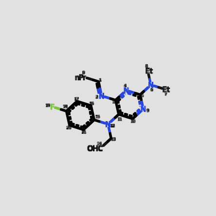 [CH2]CCC=Nc1nc(N(CC)CC)ncc1N(CC=O)c1ccc(F)cc1